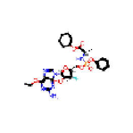 CCOc1nc(N)nc2c1ncn2[C@@H]1O[C@H](COP(=O)(N[C@@H](C)C(=O)OC2CCCCC2)Oc2ccccc2)[C@@H](F)[C@@]1(C)O